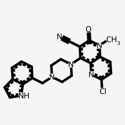 Cn1c(=O)c(C#N)c(N2CCN(Cc3cccc4cc[nH]c34)CC2)c2nc(Cl)ccc21